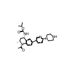 CC(=O)N1c2ccc(-c3ccc(N4CCNCC4)nc3)cc2[C@@H](NC(=O)OC(C)C)C[C@H]1C